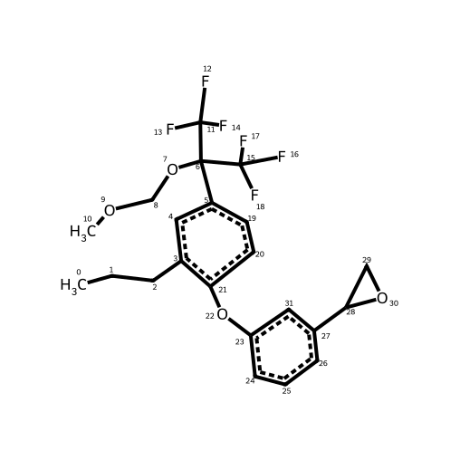 CCCc1cc(C(OCOC)(C(F)(F)F)C(F)(F)F)ccc1Oc1cccc(C2CO2)c1